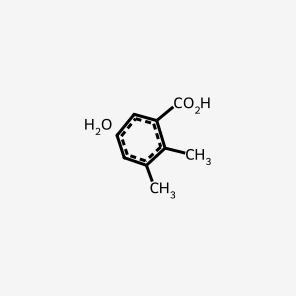 Cc1cccc(C(=O)O)c1C.O